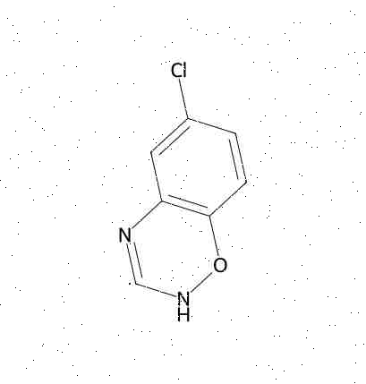 Clc1ccc2c(c1)N=[C]NO2